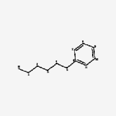 CCCCCCc1[c]cccc1